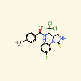 Cc1ccc(C(=O)NC(C2CNC(=S)N2c2cccc(F)c2)C(Cl)(Cl)Cl)cc1